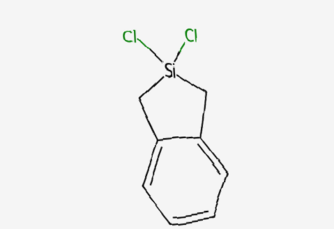 Cl[Si]1(Cl)Cc2ccccc2C1